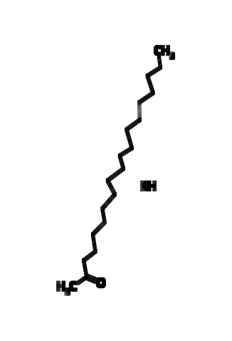 CCCCCCCCCCCCCCCCCC(C)=O.[KH]